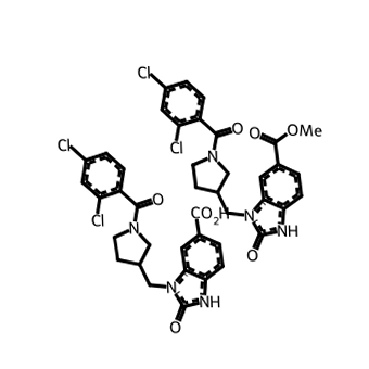 COC(=O)c1ccc2[nH]c(=O)n(CC3CCN(C(=O)c4ccc(Cl)cc4Cl)C3)c2c1.O=C(O)c1ccc2[nH]c(=O)n(CC3CCN(C(=O)c4ccc(Cl)cc4Cl)C3)c2c1